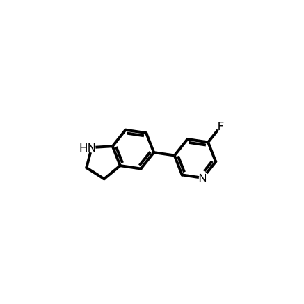 Fc1cncc(-c2ccc3c(c2)CCN3)c1